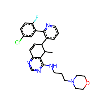 CC1c2c(ncnc2NCCCN2CCOCC2)C=CC1c1cccnc1-c1cc(Cl)ccc1F